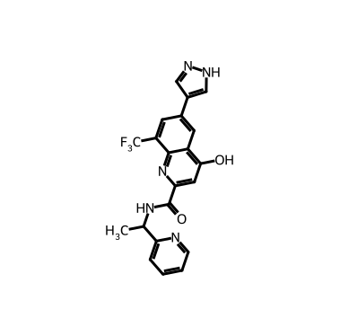 CC(NC(=O)c1cc(O)c2cc(-c3cn[nH]c3)cc(C(F)(F)F)c2n1)c1ccccn1